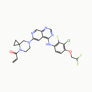 C=CC(=O)N1CCN(c2cc3c(Nc4ccc(OCC(F)F)c(Cl)c4F)ncnc3cn2)CC12CC2